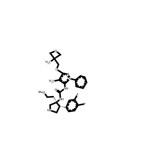 COCC[C@@]1(NC(=O)Nc2c(C)c(OCC3(C)COC3)nn2-c2ccccc2)CNC[C@H]1c1ccc(F)c(F)c1